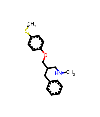 CNCC(COc1ccc(SC)cc1)Cc1ccccc1